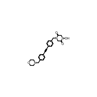 O=C1CN(Cc2ccc(C#Cc3ccc(CN4CCOCC4)cc3)cc2)C(=O)CN1O